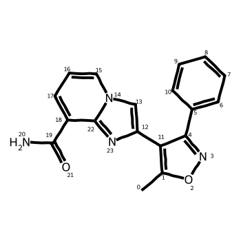 Cc1onc(-c2ccccc2)c1-c1cn2cc[c]c(C(N)=O)c2n1